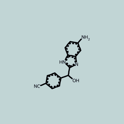 N#Cc1ccc(C(O)c2nc3cc(N)ccc3[nH]2)cc1